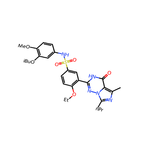 CCCc1nc(C)c2c(=O)[nH]c(-c3cc(S(=O)(=O)Nc4ccc(OC)c(OCC(C)C)c4)ccc3OCC)nn12